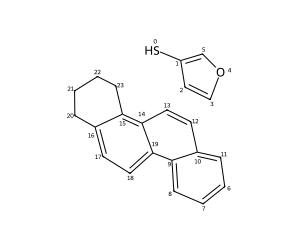 Sc1ccoc1.c1ccc2c(c1)ccc1c3c(ccc12)CCCC3